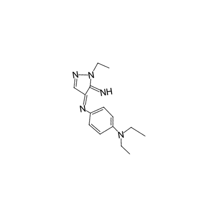 CCN1N=CC(=Nc2ccc(N(CC)CC)cc2)C1=N